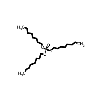 CCCCCCCCOP(=O)(OCCCCCCCC)SCCCCCCCC